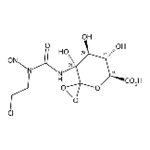 O=NN(CCCl)C(=O)N[C@@]1(O)[C@@H](O)[C@H](O)[C@@H](C(=O)O)OC12OO2